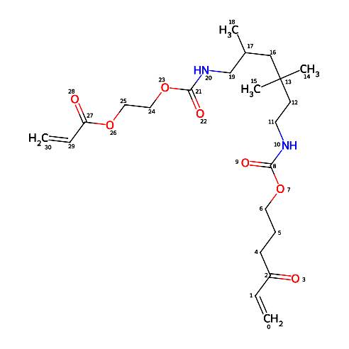 C=CC(=O)CCCOC(=O)NCCC(C)(C)CC(C)CNC(=O)OCCOC(=O)C=C